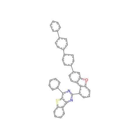 c1ccc(-c2ccc(-c3ccc(-c4ccc5c(c4)oc4cccc(-c6nc(-c7ccccc7)c7sc8ccccc8c7n6)c45)cc3)cc2)cc1